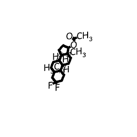 CC(=O)OC1CC[C@H]2[C@@H]3CCC4CC(F)(F)CC[C@]4(C)[C@@H]3CC[C@]12C